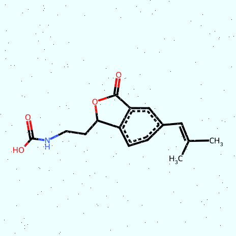 CC(C)=Cc1ccc2c(c1)C(=O)OC2CCNC(=O)O